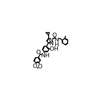 Cc1ccccc1CNC(=O)n1nc(-c2ccc(NC(=O)c3ccc4c(c3)OCO4)cc2O)cc1C1CC1